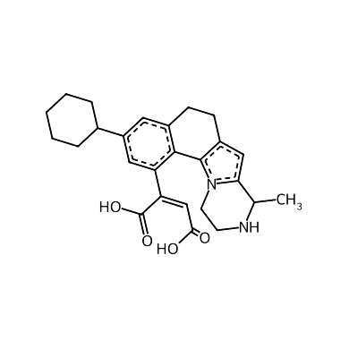 CC1NCCn2c1cc1c2-c2c(cc(C3CCCCC3)cc2C(=CC(=O)O)C(=O)O)CC1